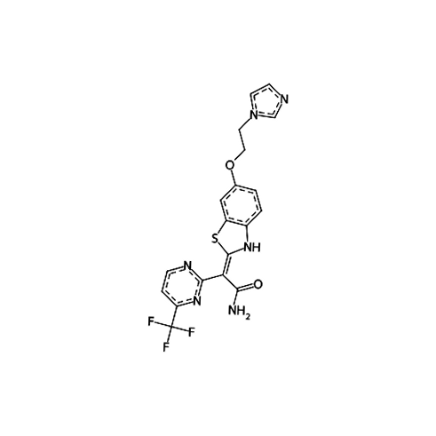 NC(=O)C(=C1Nc2ccc(OCCn3ccnc3)cc2S1)c1nccc(C(F)(F)F)n1